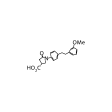 COc1cccc(CCc2ccc(N3CC(C(=O)O)CC3=O)cc2)c1